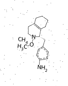 C.CON1CCC2=C(CCCC2)[C@@H]1Cc1ccc(N)cc1